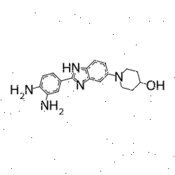 Nc1ccc(-c2nc3cc(N4CCC(O)CC4)ccc3[nH]2)cc1N